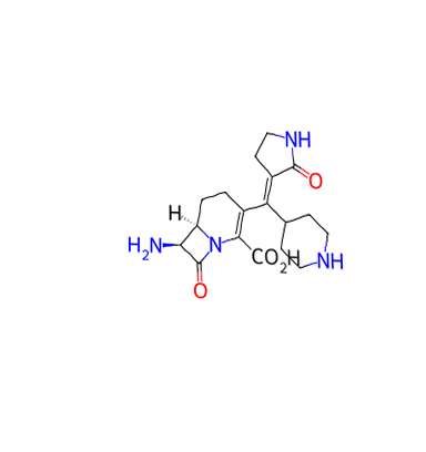 N[C@@H]1C(=O)N2C(C(=O)O)=C(C(=C3CCNC3=O)C3CCNCC3)CC[C@H]12